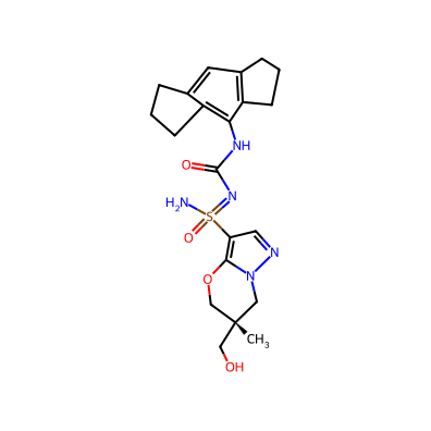 C[C@@]1(CO)COc2c(S(N)(=O)=NC(=O)Nc3c4c(cc5c3CCC5)CCC4)cnn2C1